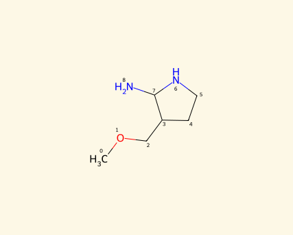 COCC1CCNC1N